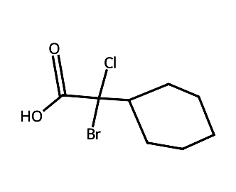 O=C(O)C(Cl)(Br)C1CCCCC1